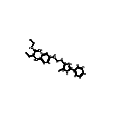 CCOC(=O)C(CC)Oc1ccc(OCCc2nc(-c3ccccc3)oc2C)cc1